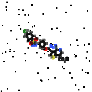 Nc1ncc(C(=O)O)c2scc(COc3cccc(NS(=O)(=O)c4ccc(Cl)cc4)c3)c12